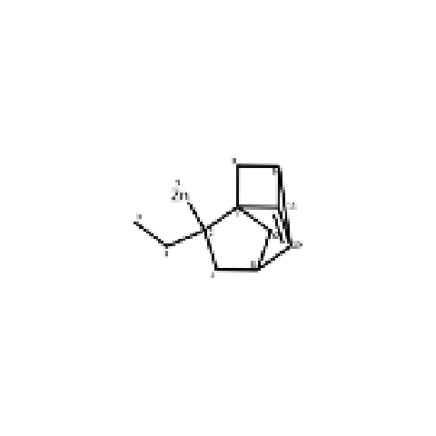 CC[C]1([Zn])CC2CC13CC1C2=C13